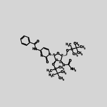 CC(C)(C)[Si](C)(C)OC[C@H]1O[C@@H](n2ccc(NC(=O)c3ccccc3)nc2=O)[C@H](O[Si](C)(C)C(C)(C)C)[C@@H]1OC(N)=O